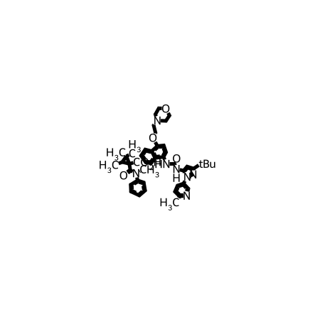 CC1C(C)(C)C1(C(=O)O)C(=O)N(C)c1ccccc1.Cc1ccc(-n2nc(C(C)(C)C)cc2NC(=O)Nc2ccc(OCCN3CCOCC3)c3ccccc23)cn1